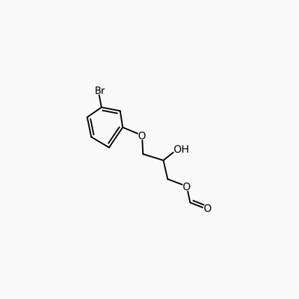 O=COCC(O)COc1cccc(Br)c1